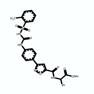 COC(=O)C(NC(=O)c1cc(-c2ccc(NC(=O)NS(=O)(=O)c3ccccc3C)cc2)no1)C(C)C